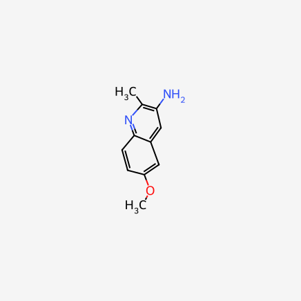 COc1ccc2nc(C)c(N)cc2c1